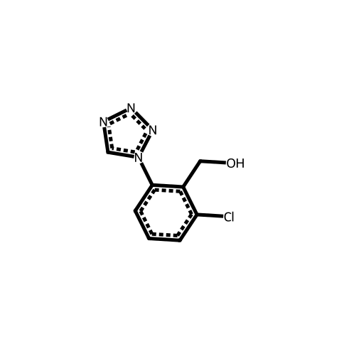 OCc1c(Cl)cccc1-n1cnnn1